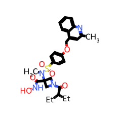 CCC(CC)C(=O)N1CC(C(=O)NO)(N(C)S(=O)(=O)c2ccc(OCc3cc(C)nc4ccccc34)cc2)C1